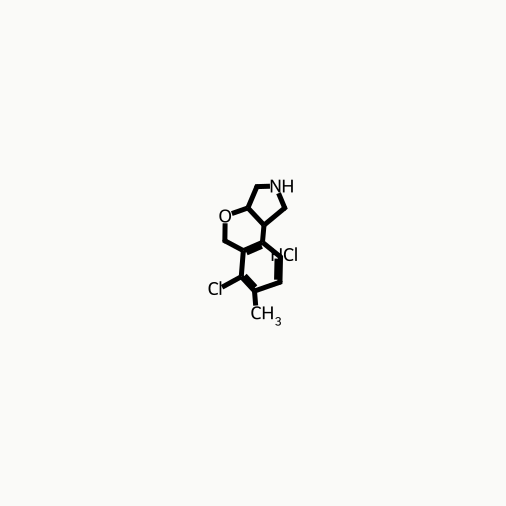 Cc1ccc2c(c1Cl)COC1CNCC21.Cl